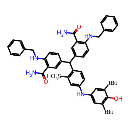 CC(C)(C)c1cc(Nc2ccc(C(c3ccc(NCc4ccccc4)c(C(N)=O)c3)c3ccc(NCc4ccccc4)c(C(N)=O)c3)c(S(=O)(=O)O)c2)cc(C(C)(C)C)c1O